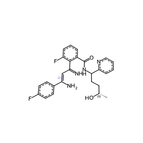 C[C@H](O)CCC(NC(=O)c1cccc(F)c1C(=N)/C=C(\N)c1ccc(F)cc1)c1ccccn1